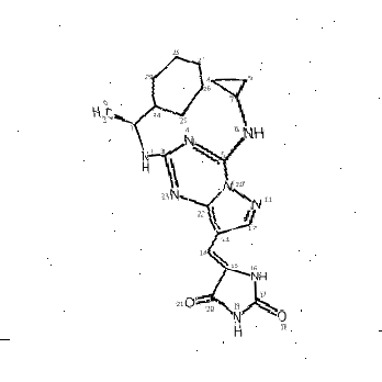 C[C@H](Nc1nc(NC2CC2)n2ncc(/C=C3\NC(=O)NC3=O)c2n1)C1CCCCC1